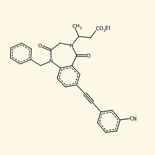 CCOC(=O)CC(C)N1CC(=O)N(Cc2ccccc2)c2ccc(C#Cc3cccc(C#N)c3)cc2C1=O